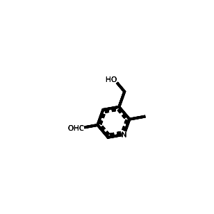 Cc1ncc(C=O)cc1CO